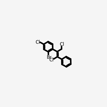 ClCC(=C(Cl)c1ccccc1)c1ccc(Cl)cc1Br